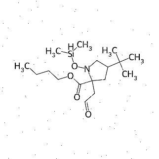 CCCCOC(=O)C1(CC=O)CC(C(C)(C)C)CN1O[SiH](C)C